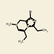 CCC1=CN(C)Cc2c(Br)nc(CC)n21